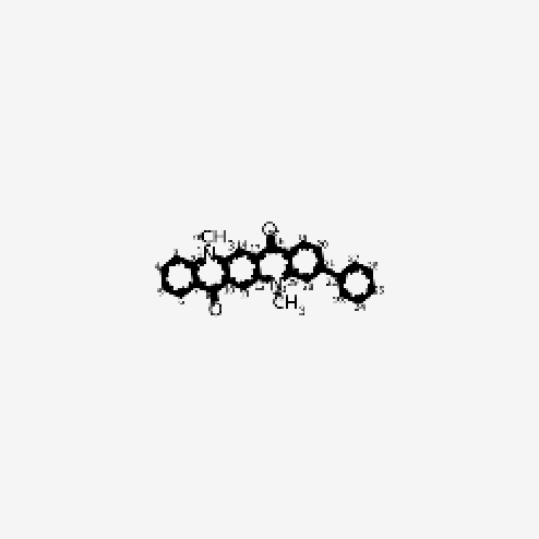 Cn1c2ccccc2c(=O)c2cc3c(cc21)c(=O)c1ccc(-c2ccccc2)cc1n3C